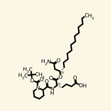 CCCCCCCCCCCCC[C@@H](CC(N)=O)OC(=O)[C@H](CCCC(=O)O)NC(=O)C1CCCCN1C(=O)OC(C)(C)C